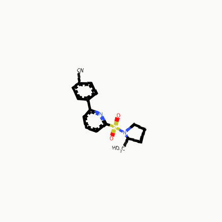 N#Cc1ccc(-c2cccc(S(=O)(=O)N3CCCC3C(=O)O)n2)cc1